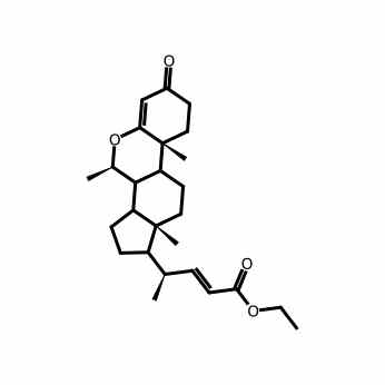 CCOC(=O)/C=C/[C@@H](C)C1CCC2C3C(CC[C@@]21C)[C@@]1(C)CCC(=O)C=C1O[C@@H]3C